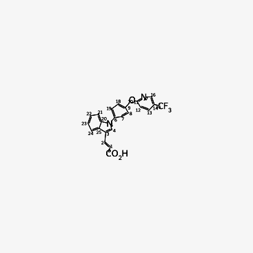 O=C(O)/C=C/c1cn(-c2ccc(Oc3ccc(C(F)(F)F)cn3)cc2)c2ccccc12